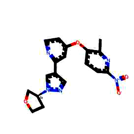 Cc1nc([N+](=O)[O-])ccc1Oc1ccnc(-c2cnn([C@H]3CCOC3)c2)c1